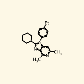 [CH2]Cc1ccc(-n2c(C3CCCCC3)nc3c(C)nc(C)cc32)cc1